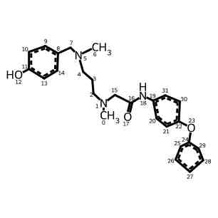 CN(CCCN(C)Cc1ccc(O)cc1)CC(=O)Nc1ccc(Oc2ccccc2)cc1